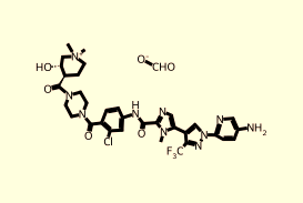 Cn1c(-c2cn(-c3ccc(N)cn3)nc2C(F)(F)F)cnc1C(=O)Nc1ccc(C(=O)N2CCN(C(=O)[C@@H]3CC[N+](C)(C)C[C@H]3O)CC2)c(Cl)c1.O=C[O-]